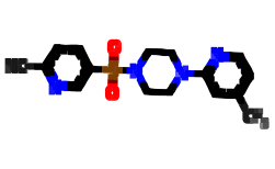 N#Cc1ccc(S(=O)(=O)N2CCN(c3cc(C(F)(F)F)ccn3)CC2)cn1